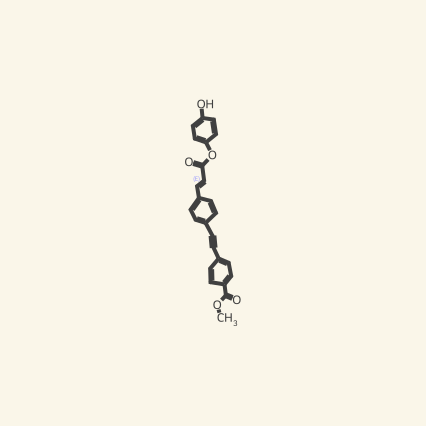 COC(=O)c1ccc(C#Cc2ccc(/C=C/C(=O)Oc3ccc(O)cc3)cc2)cc1